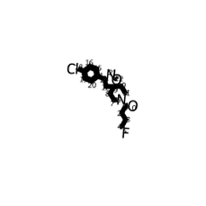 O=C(CCCF)N1CCC2(CC1)CC(c1ccc(Cl)cc1)=NO2